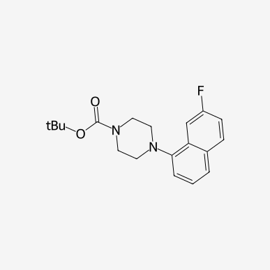 CC(C)(C)OC(=O)N1CCN(c2cccc3ccc(F)cc23)CC1